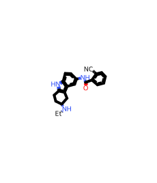 CCNC1CCc2[nH]c3ccc(NC(=O)c4ccccc4C#N)cc3c2C1